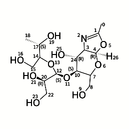 CC1=NC2[C@@H](O1)OC(CO)[C@@H](O[C@H](OC(CO)[C@H](C)O)[C@H](O)CO)[C@@H]2O